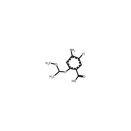 COC(C)Oc1cc(N)c(Cl)cc1C(=O)O